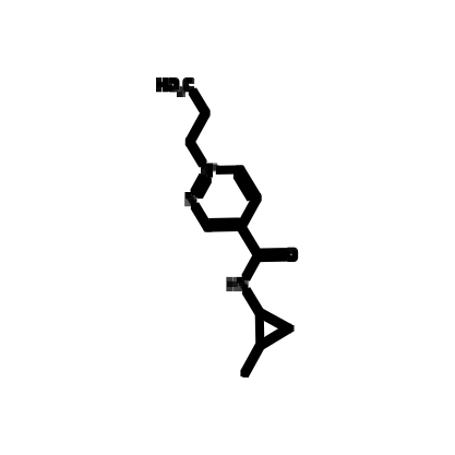 CC1CC1NC(=O)c1cc[n+](CCC(=O)O)nc1